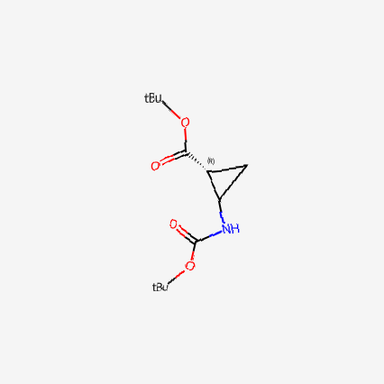 CC(C)(C)OC(=O)NC1C[C@H]1C(=O)OC(C)(C)C